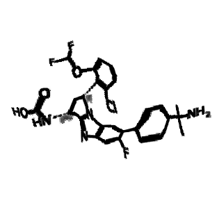 CC(C)(N)c1ccc(-c2cc3c(cc2F)nc2n3[C@@H](c3c(Cl)cccc3OC(F)F)C[C@H]2NC(=O)O)cc1